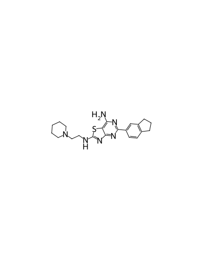 Nc1nc(-c2ccc3c(c2)CCC3)nc2nc(NCCN3CCCCC3)sc12